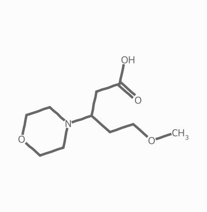 COCCC(CC(=O)O)N1CCOCC1